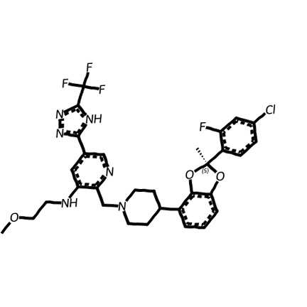 COCCNc1cc(-c2nnc(C(F)(F)F)[nH]2)cnc1CN1CCC(c2cccc3c2O[C@@](C)(c2ccc(Cl)cc2F)O3)CC1